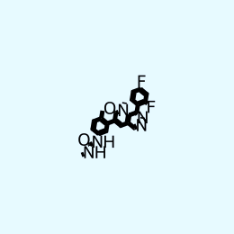 CNC(=O)Nc1ccc(C)c(-c2cc3cnnc(-c4ccc(F)cc4F)c3n(C)c2=O)c1